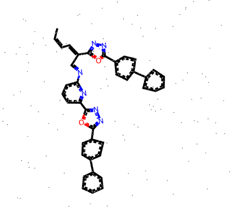 C\C=C/C=C(\C=N\c1cccc(-c2nnc(-c3ccc(-c4ccccc4)cc3)o2)n1)c1nnc(-c2ccc(-c3ccccc3)cc2)o1